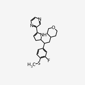 CSc1ccc(C(CC2CCOCC2)C2CC=C(c3cnccn3)N2)cc1F